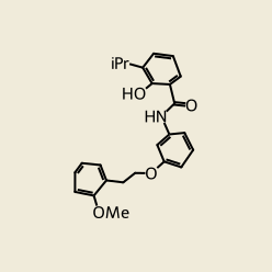 COc1ccccc1CCOc1cccc(NC(=O)c2cccc(C(C)C)c2O)c1